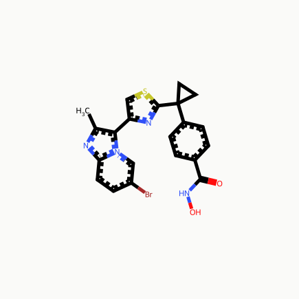 Cc1nc2ccc(Br)cn2c1-c1csc(C2(c3ccc(C(=O)NO)cc3)CC2)n1